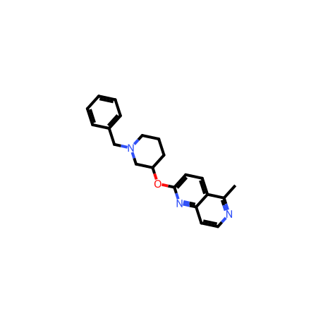 Cc1nccc2nc(OC3CCCN(Cc4ccccc4)C3)ccc12